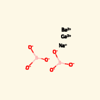 [Ba+2].[Ga+3].[Na+].[O-]B([O-])[O-].[O-]B([O-])[O-]